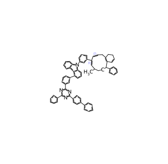 CC1/C=C(c2cccc(-n3c4ccccc4c4c(-c5cccc(-c6nc(-c7ccccc7)nc(-c7ccc(-c8ccccc8)cc7)n6)c5)cccc43)c2)\C=C/CC2=C(C=CCC2)C(c2ccccc2)CC1